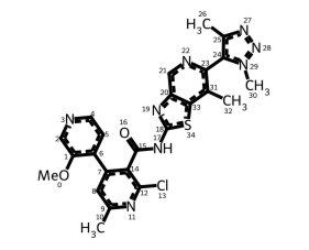 COc1cnccc1-c1cc(C)nc(Cl)c1C(=O)Nc1nc2cnc(-c3c(C)nnn3C)c(C)c2s1